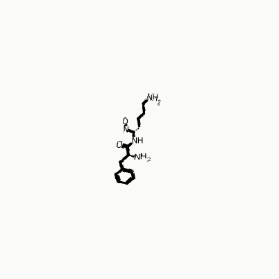 NCCCC[C@@H](N=O)NC(=O)[C@@H](N)Cc1ccccc1